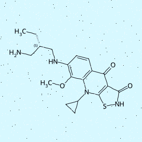 CC[C@@H](CN)CNc1ccc2c(=O)c3c(=O)[nH]sc3n(C3CC3)c2c1OC